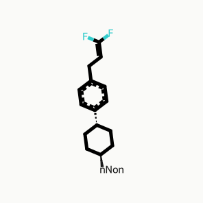 CCCCCCCCC[C@H]1CC[C@H](c2ccc(CC=C(F)F)cc2)CC1